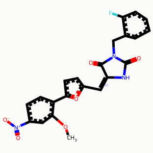 COc1cc([N+](=O)[O-])ccc1-c1ccc(/C=C2/NC(=O)N(Cc3ccccc3F)C2=O)o1